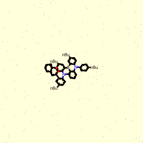 CCCCc1ccc(N2c3ccc(CCCC)cc3B3c4cc(CCCC)ccc4N(c4ccc(CCCC)cc4-c4ccc5ccccc5c4)c4cccc2c43)cc1